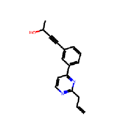 C=CCc1nccc(-c2cccc(C#CC(C)O)c2)n1